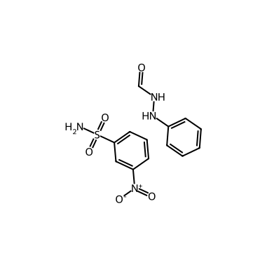 NS(=O)(=O)c1cccc([N+](=O)[O-])c1.O=CNNc1ccccc1